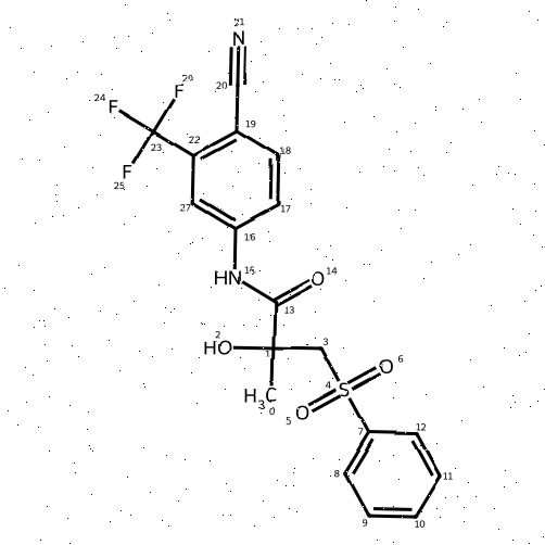 CC(O)(CS(=O)(=O)c1ccccc1)C(=O)Nc1ccc(C#N)c(C(F)(F)F)c1